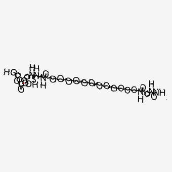 NC(=O)Nc1cccc(C(=O)NCCOCCOCCOCCOCCOCCOCCOCCOCCOCCOCCOCCOCCC(=O)NCCNC(=S)Nc2ccc(-c3c4ccc(=O)cc-4oc4cc(O)ccc34)c(C(=O)O)c2)c1